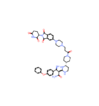 N=C(/C(C(N)=O)=C1/NCC[C@@H](C2CCN(C(=O)CCN3CCN(c4ccc5c(c4)C(=O)N(C4CCC(=O)NC4=O)C5=O)CC3)CC2)N1)c1ccc(Oc2ccccc2)cc1